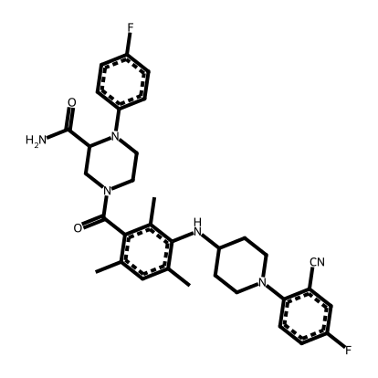 Cc1cc(C)c(C(=O)N2CCN(c3ccc(F)cc3)C(C(N)=O)C2)c(C)c1NC1CCN(c2ccc(F)cc2C#N)CC1